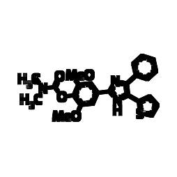 COc1cc(-c2nc(-c3ccccc3)c(-c3cccs3)[nH]2)cc(OC)c1OC(=O)N(C)C